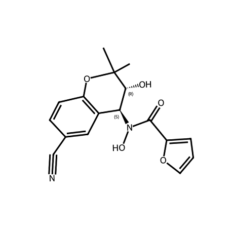 CC1(C)Oc2ccc(C#N)cc2[C@H](N(O)C(=O)c2ccco2)[C@H]1O